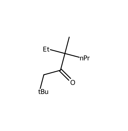 CCCC(C)(CC)C(=O)CC(C)(C)C